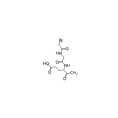 CC(=O)C(CCC(=O)O)NC(=O)CNC(=O)CBr